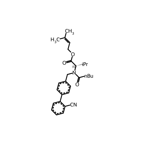 CCCCC(=O)N(Cc1ccc(-c2ccccc2C#N)cc1)[C@H](C(=O)OCC=C(C)C)C(C)C